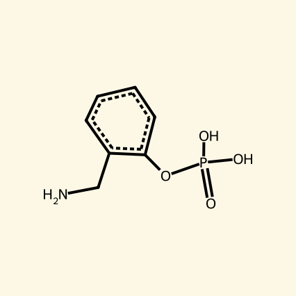 NCc1ccccc1OP(=O)(O)O